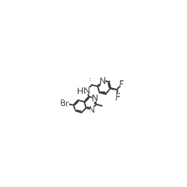 Cc1nc(N[C@H](C)c2ccc(C(F)F)cn2)c2cc(Br)ccc2n1